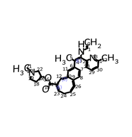 C=CN/C(=C(\C)c1ccc2/c(c1)=C\C(C(=O)O[C@H]1CCN(C)C1)=C/CC=C=2)c1cccc(C)n1